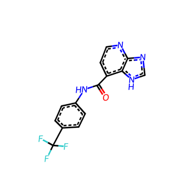 O=C(Nc1ccc(C(F)(F)F)cc1)c1ccnc2nc[nH]c12